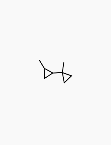 CC1CC1C1(C)CC1